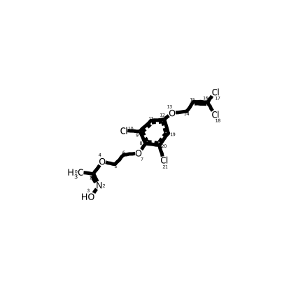 CC(=NO)OCCOc1c(Cl)cc(OCC=C(Cl)Cl)cc1Cl